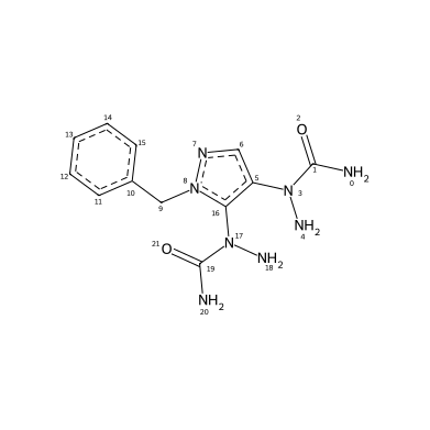 NC(=O)N(N)c1cnn(Cc2ccccc2)c1N(N)C(N)=O